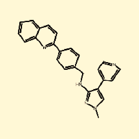 Cn1cc(-c2ccncc2)c(NCc2ccc(-c3ccc4ccccc4n3)cc2)n1